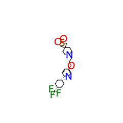 O=S1(=O)CC2(CCN(CCOc3ccc([C@H]4CC[C@@H](C(F)(F)F)CC4)nc3)CC2)C1